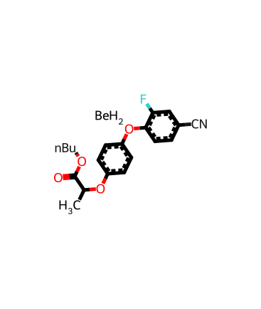 CCCCOC(=O)C(C)Oc1ccc(Oc2ccc(C#N)cc2F)cc1.[BeH2]